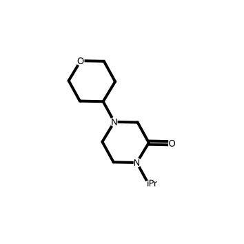 CC(C)N1CCN(C2CCOCC2)CC1=O